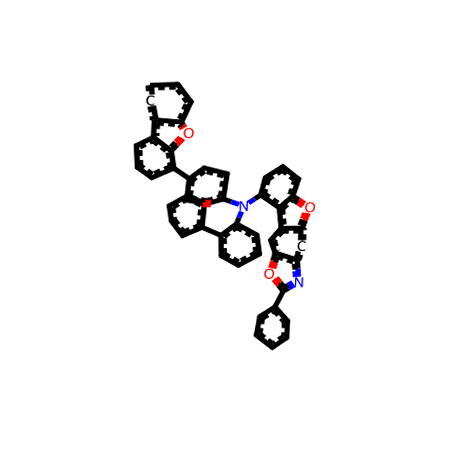 c1ccc(-c2nc3cc4oc5cccc(N(c6ccc(-c7cccc8c7oc7ccccc78)cc6)c6ccccc6-c6ccccc6)c5c4cc3o2)cc1